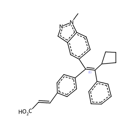 Cn1ncc2cc(/C(=C(/c3ccccc3)C3CCC3)c3ccc(C=CC(=O)O)cc3)ccc21